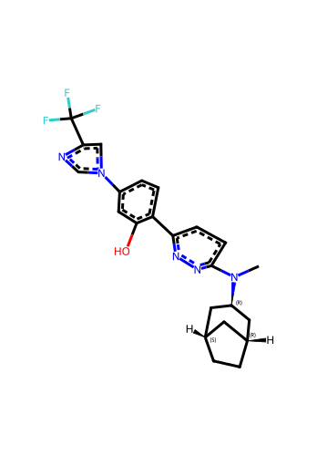 CN(c1ccc(-c2ccc(-n3cnc(C(F)(F)F)c3)cc2O)nn1)[C@H]1C[C@@H]2CC[C@@H](C2)C1